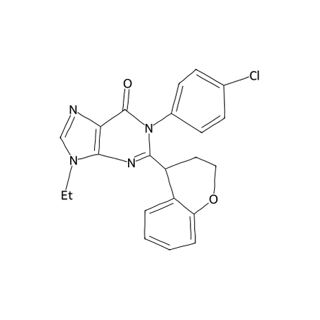 CCn1cnc2c(=O)n(-c3ccc(Cl)cc3)c(C3CCOc4ccccc43)nc21